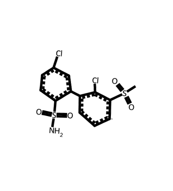 CS(=O)(=O)c1[c]ccc(-c2cc(Cl)ccc2S(N)(=O)=O)c1Cl